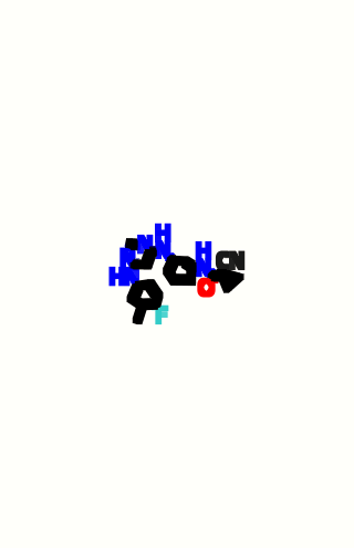 Cc1cc(Nc2cc(Nc3cccc(NC(=O)C4(C#N)CC4)c3)ncn2)ccc1F